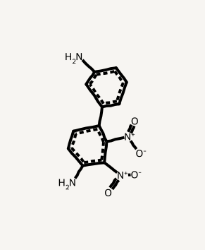 Nc1cccc(-c2ccc(N)c([N+](=O)[O-])c2[N+](=O)[O-])c1